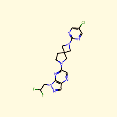 FC(F)Cn1ncc2ncc(N3CCC4(C3)CN(c3ncc(Cl)cn3)C4)nc21